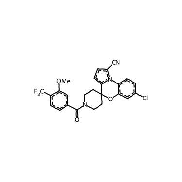 COc1cc(C(=O)N2CCC3(CC2)Oc2cc(Cl)ccc2-n2c(C#N)ccc23)ccc1C(F)(F)F